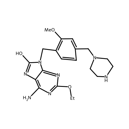 CCOc1nc(N)c2nc(O)n(Cc3ccc(CN4CCNCC4)cc3OC)c2n1